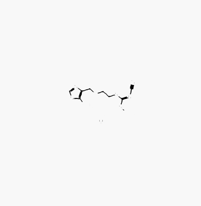 CN/C(=N/C#N)NCCSCc1nc[nH]c1C.O.[MgH2]